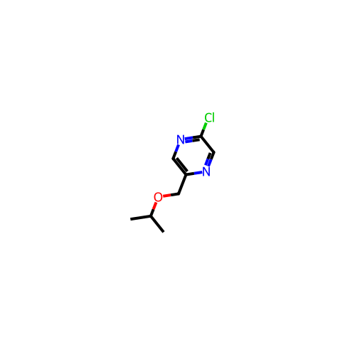 CC(C)OCc1cnc(Cl)cn1